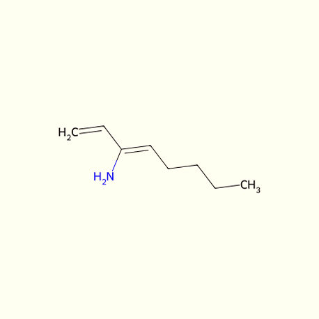 C=C/C(N)=C/CCCC